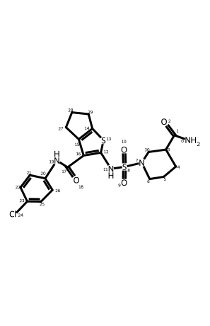 NC(=O)C1CCCN(S(=O)(=O)Nc2sc3c(c2C(=O)Nc2ccc(Cl)cc2)CCC3)C1